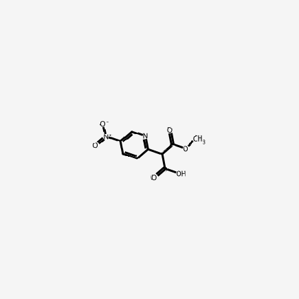 COC(=O)C(C(=O)O)c1ccc([N+](=O)[O-])cn1